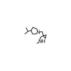 CNCC1(CN2CCC(C(C)C)CC2)CC1